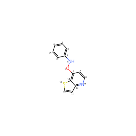 c1ccc(NOc2ccnc3ccsc23)cc1